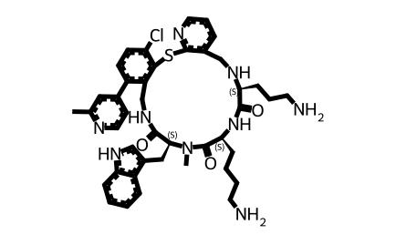 Cc1cc(-c2ccc(Cl)c3c2CNC(=O)[C@H](Cc2c[nH]c4ccccc24)N(C)C(=O)[C@H](CCCCN)NC(=O)[C@H](CCCN)NCc2cccnc2S3)ccn1